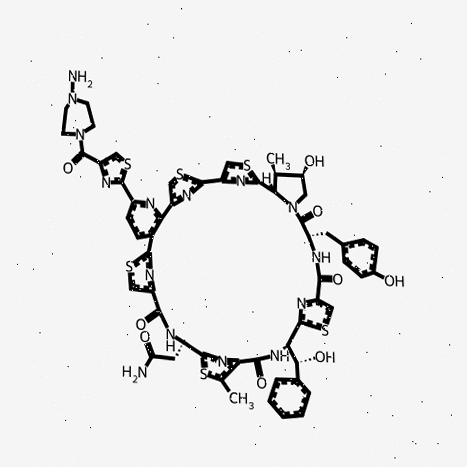 Cc1sc2nc1C(=O)N[C@@H]([C@H](O)c1ccccc1)c1nc(cs1)C(=O)N[C@@H](Cc1ccc(O)cc1)C(=O)N1C[C@H](O)[C@H](C)[C@H]1c1nc(cs1)-c1nc(cs1)-c1nc(-c3nc(C(=O)N4CCN(N)CC4)cs3)ccc1-c1nc(cs1)C(=O)N[C@H]2CC(N)=O